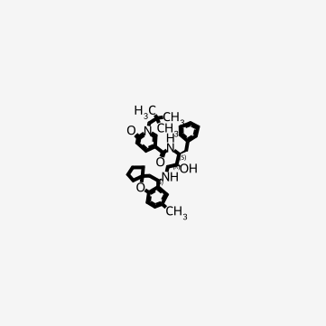 Cc1ccc2c(c1)[C@@H](NC[C@@H](O)[C@H](Cc1ccccc1)NC(=O)c1ccc(=O)n(CC(C)(C)C)c1)CC1(CCCC1)O2